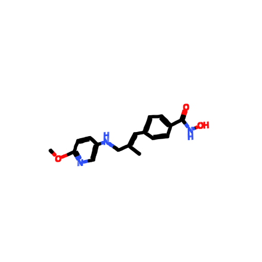 COc1ccc(NCC(C)=Cc2ccc(C(=O)NO)cc2)cn1